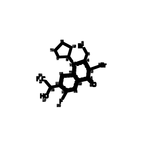 O=c1c(Br)c(CBr)n(C2CCCC2)c2cc(C(O)C(F)(F)F)c(F)cc12